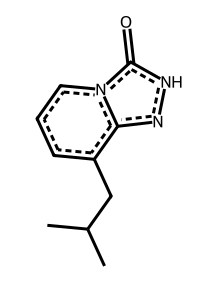 CC(C)Cc1cccn2c(=O)[nH]nc12